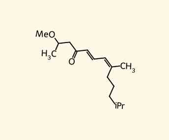 COC(C)CC(=O)C=CC=C(C)CCCC(C)C